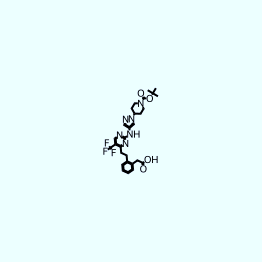 CC(C)(C)OC(=O)N1CCC(n2cc(Nc3ncc(C(F)(F)F)c(CCc4ccccc4CC(=O)O)n3)cn2)CC1